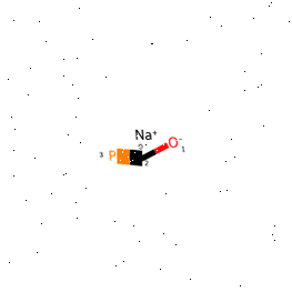 [Na+].[O-]C#P